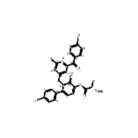 CN[C@@H](C)C(=O)Nc1ccc(-c2ccc(F)cc2)n(Cc2cc(C(=O)c3ccc(F)cc3)nc(C)n2)c1=O